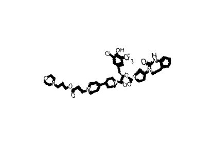 O=C(CCN1CCC(C2CCN(C(=O)[C@@H](Cc3cc(Cl)c(O)c(C(F)(F)F)c3)OC(=O)N3CCC(N4CCc5ccccc5NC4=O)CC3)CC2)CC1)OCCCN1CCOCC1